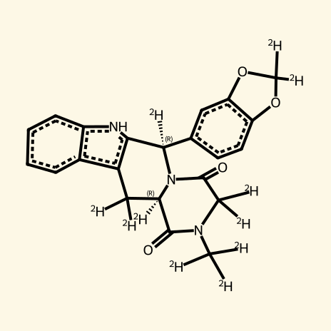 [2H]C1([2H])Oc2ccc([C@]3([2H])c4[nH]c5ccccc5c4C([2H])([2H])[C@]4([2H])C(=O)N(C([2H])([2H])[2H])C([2H])([2H])C(=O)N34)cc2O1